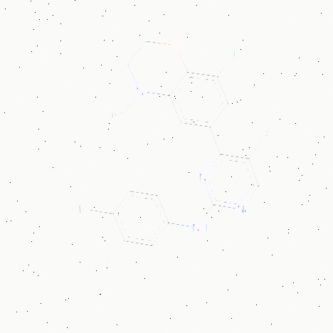 CC(C)N1CCOc2c(F)cc(-c3nc(Nc4ccc(C=O)c(F)c4)ncc3F)cc21